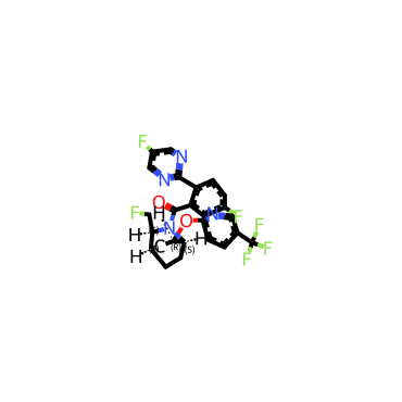 O=C(c1cc(F)ccc1-c1ncc(F)cn1)N1[C@H](CF)[C@@H]2CC[C@H]1[C@H](Oc1ccc(C(F)(F)F)cn1)C2